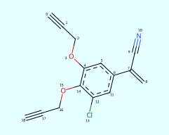 C#CCOc1cc(C(=C)C#N)cc(Cl)c1OCC#C